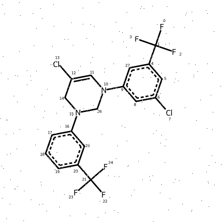 FC(F)(F)c1cc(Cl)cc(N2C=C(Cl)CN(c3cccc(C(F)(F)F)c3)C2)c1